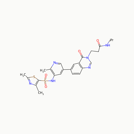 Cc1nc(C)c(S(=O)(=O)Nc2cc(-c3ccc4ncn(CCC(=O)NC(C)C)c(=O)c4c3)cnc2C)s1